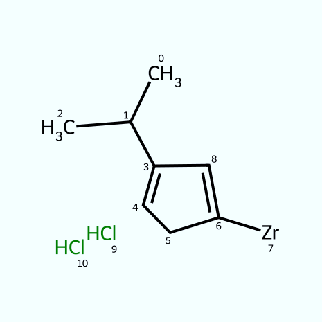 CC(C)C1=CC[C]([Zr])=C1.Cl.Cl